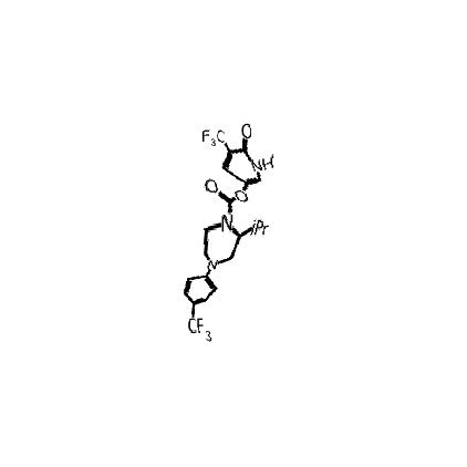 CC(C)C1CN(c2ccc(C(F)(F)F)cc2)CCN1C(=O)Oc1c[nH]c(=O)c(C(F)(F)F)c1